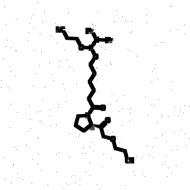 CC(C)N(C(C)C)P(OCCC#N)OCCCCCC(=O)N1CCC[C@H]1C(=O)COCCC#N